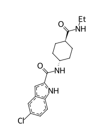 CCNC(=O)[C@H]1CC[C@H](NC(=O)c2cc3cc(Cl)ccc3[nH]2)CC1